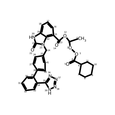 CC(OOC(=O)C1CCCCC1)OC(=O)c1cccc2[nH]c(=O)n(Cc3ccc(-c4ccccc4-c4nnn[nH]4)cc3)c12